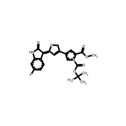 COC(=O)c1cc(C2=CC(=C3C(=O)Nc4cc(F)ccc43)OC2)cn1C(=O)OC(C)(C)C